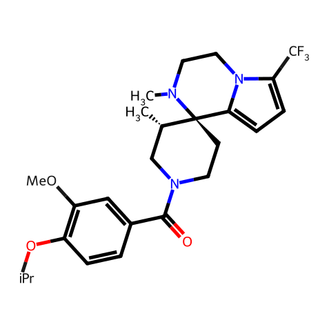 COc1cc(C(=O)N2CC[C@@]3(c4ccc(C(F)(F)F)n4CCN3C)[C@@H](C)C2)ccc1OC(C)C